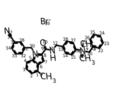 Cc1cccc2c1cc(C(=O)NCc1ccc([N+](C)(C)Cc3ccccc3)cc1)n2Cc1cccc(C#N)c1.[Br-]